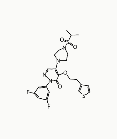 CC(C)S(=O)(=O)N1CCN(c2cnn(-c3cc(F)cc(F)c3)c(=O)c2OCCc2ccsc2)CC1